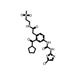 CS(=O)(=O)CCNC(=O)Cc1ccc(NC(=O)Nc2ncc(Cl)s2)cc1C(=O)C1CCCC1